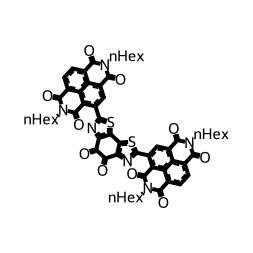 CCCCCCN1C(=O)c2ccc3c4c(c(-c5nc6c(s5)-c5sc(-c7cc8c9c(ccc%10c9c7C(=O)N(CCCCCC)C%10=O)C(=O)N(CCCCCC)C8=O)nc5C(=O)C6=O)cc(c24)C1=O)C(=O)N(CCCCCC)C3=O